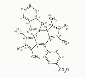 CCOC(=O)c1ccc(C2=C3C(C)=C(Br)C(C)=[N+]3[B-]3(Oc4ccccc4O3)n3c(C)c(Br)c(C)c32)cc1